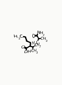 CC(C)C(N)=O.CCCCC(C(=O)O)C(C)C